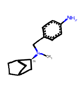 CN(Cc1ccc(N)cc1)[C@H]1CC2CCC1C2